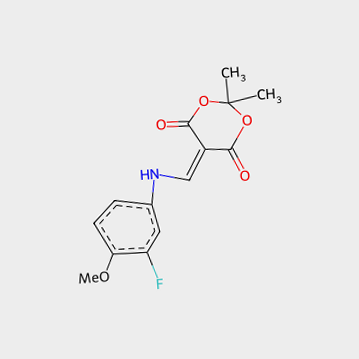 COc1ccc(NC=C2C(=O)OC(C)(C)OC2=O)cc1F